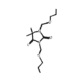 CCCOCN1C(=O)N(COCCC)C(C)(C)C1=O